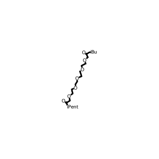 CCCC(C)C(=O)COCCOCCOCCOCCOCC(=O)C(C)CC